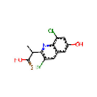 CC(C(O)=S)c1nc2c(Cl)cc(O)cc2cc1Br